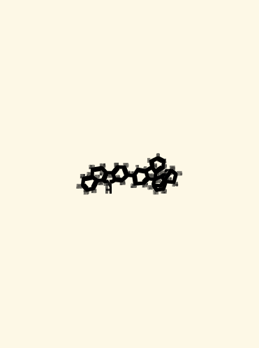 c1ccc2c(c1)-c1cc(-c3ccc4c(c3)[nH]c3c5ccccc5ccc43)ccc1C21C2CCC3CCC(C2)CC31